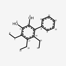 CCc1c(O)c(O)c(-c2ccccc2)c(CC)c1CC